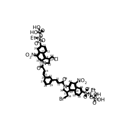 CCN(OP(=O)(O)O)S(=O)(=O)c1ccc2c3c(cc([N+](=O)[O-])c2c1)N(C(=O)C=Cc1cccc(C=CC(=O)N2CC(CBr)c4c2cc([N+](=O)[O-])c2cc(S(=O)(=O)N(CC)OP(=O)(O)O)ccc42)c1)CC3CCl